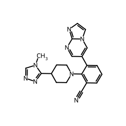 Cn1cnnc1C1CCN(c2c(C#N)cccc2-c2cnc3nccn3c2)CC1